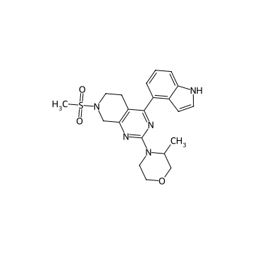 CC1COCCN1c1nc2c(c(-c3cccc4[nH]ccc34)n1)CCN(S(C)(=O)=O)C2